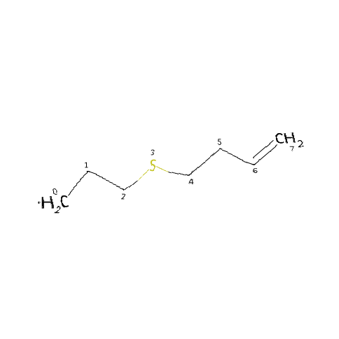 [CH2]CCSCCC=C